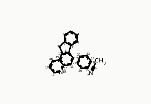 CC#N.c1ccc2c(c1)Cc1c-2ccc2ncccc12.c1ccccc1